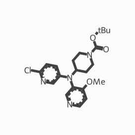 COc1ccncc1N(c1ccc(Cl)nc1)C1CCN(C(=O)OC(C)(C)C)CC1